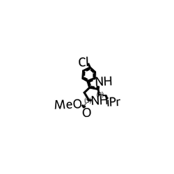 COC(=O)[C@@H]1Cc2c([nH]c3cc(Cl)ccc23)[C@@H](CC(C)C)N1